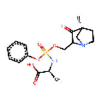 C[C@H](NP(=O)(OCC1C(=O)[C@H]2CC[N@]1C2)Oc1ccccc1)C(=O)O